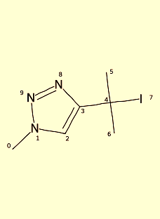 Cn1cc(C(C)(C)I)nn1